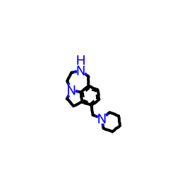 c1cc2c3c(c1CN1CCCCC1)CCN3CCNC2